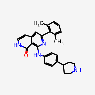 Cc1cccc(C)c1-c1cc2cc[nH]c(=O)c2c(Nc2ccc(C3CCNCC3)cc2)n1